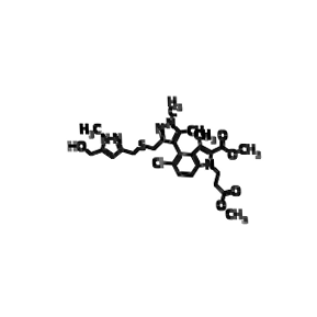 COC(=O)CCn1c(C(=O)OC)c(C)c2c(-c3c(CSCc4cc(CO)n(C)n4)nn(C)c3C)c(Cl)ccc21